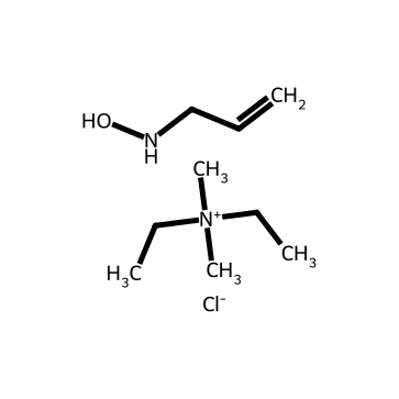 C=CCNO.CC[N+](C)(C)CC.[Cl-]